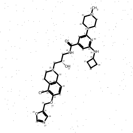 CN1CCN(c2cc(C(=O)NC[C@H](O)CN3CCc4c(ccc(OCc5cnco5)c4Cl)C3)cc(NC3CCC3)n2)CC1